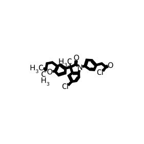 CC1(C)CCc2cc([C@]3(C)C(=O)N(c4ccc(CC(=O)Cl)cc4)c4ccc(Cl)cc43)ccc2O1